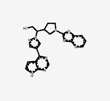 N#CCC(C1CCN(c2nc3ncccc3o2)C1)n1cc(-c2ncnc3[nH]ccc23)cn1